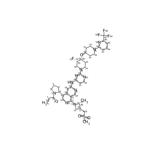 C=CC(=O)N1CCCC1c1cnc(N2C[C@H](CS(C)(=O)=O)[C@H]2C)c2cnc(Nc3ccnc(N4CC[C@@H](OC5CCN(c6cccc(C(F)(F)F)n6)CC5)[C@@H](F)C4)n3)cc12